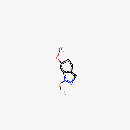 FC(F)(F)Oc1ccc2cnn(SC(Cl)(Cl)Cl)c2c1